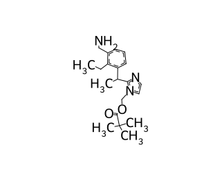 CCc1c(CN)cccc1C(C)c1nccn1COC(=O)C(C)(C)C